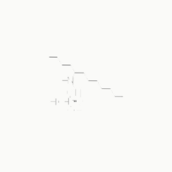 CCCCCCCC(CCCC)N(C)C.O=P(O)(O)O